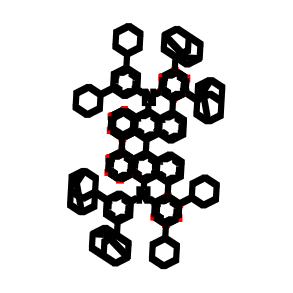 c1ccc(-c2cccc3c(N(c4cc(C5CCCCC5)cc(C5CCCCC5)c4)c4cc(C56CC7CC(CC(C7)C5)C6)cc(C56CC7CC(CC(C7)C5)C6)c4)c4c(-c5ccccc5)cccc4c(-c4c5cccc(-c6ccccc6)c5c(N(c5cc(C6CCCCC6)cc(C6CCCCC6)c5)c5cc(C67CC8CC(CC(C8)C6)C7)cc(C67CC8CC(CC(C8)C6)C7)c5)c5cccc(-c6ccccc6)c45)c23)cc1